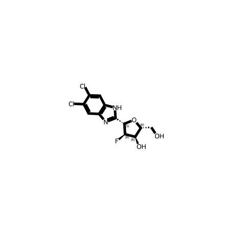 OC[C@H]1O[C@@H](c2nc3cc(Cl)c(Cl)cc3[nH]2)[C@H](F)[C@@H]1O